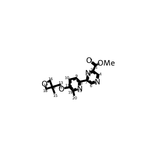 COC(=O)c1cncc(-c2ccc(OCC3(C)COC3)c(C)n2)n1